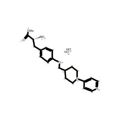 COC(=O)[C@H](N)Cc1ccc(OCC2CCN(c3ccncc3)CC2)cc1.Cl.Cl